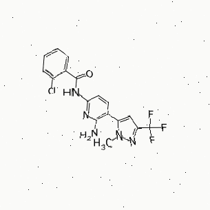 Cn1nc(C(F)(F)F)cc1-c1ccc(NC(=O)c2ccccc2Cl)nc1N